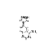 NC1=NC=NC2=CC=C(c3cn[nH]c3)CC21